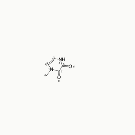 Cn1n[c][nH]c(=O)c1=O